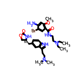 CCN(CC)CCNC(=O)c1cc(Br)c(N)cc1OC.CN(C)CCc1c[nH]c2ccc(C[C@H]3COC(=O)N3)cc12